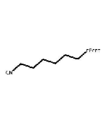 [C-]#[N+]CCCCCCCCCCC